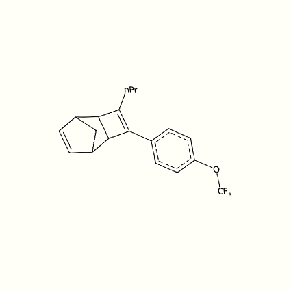 CCCC1=C(c2ccc(OC(F)(F)F)cc2)C2C3C=CC(C3)C12